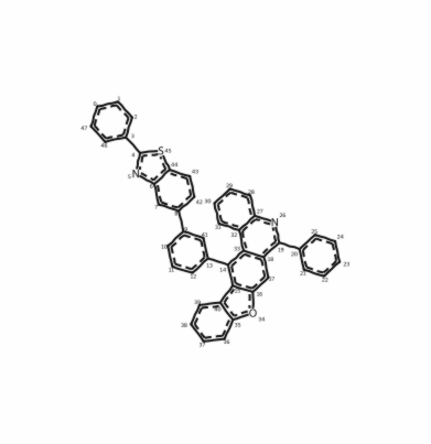 c1ccc(-c2nc3cc(-c4cccc(-c5c6c(cc7c(-c8ccccc8)nc8ccccc8c57)oc5ccccc56)c4)ccc3s2)cc1